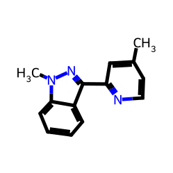 Cc1ccnc(-c2nn(C)c3ccccc23)c1